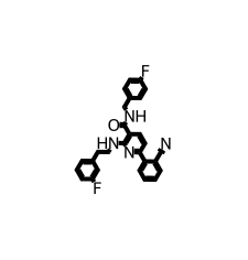 N#Cc1ccccc1-c1ccc(C(=O)NCc2ccc(F)cc2)c(NCCc2cccc(F)c2)n1